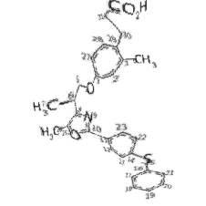 Cc1cc(OC[C@H](C)c2nc(-c3ccc(Sc4ccccc4)cc3)oc2C)ccc1CCC(=O)O